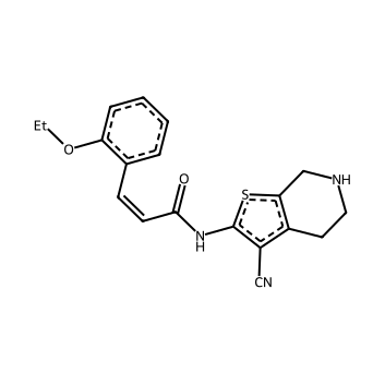 CCOc1ccccc1/C=C\C(=O)Nc1sc2c(c1C#N)CCNC2